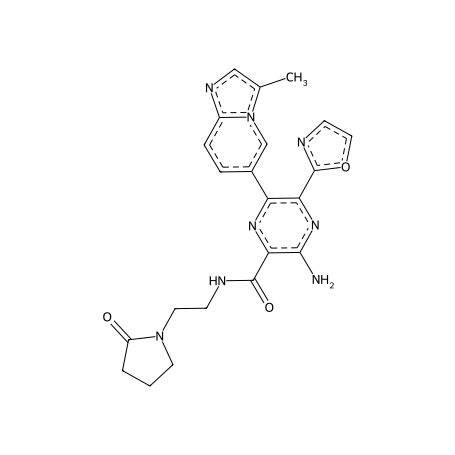 Cc1cnc2ccc(-c3nc(C(=O)NCCN4CCCC4=O)c(N)nc3-c3ncco3)cn12